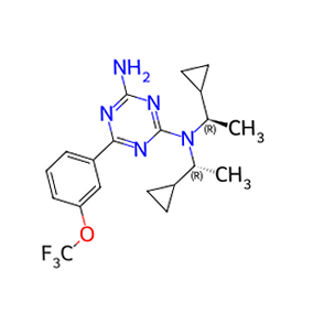 C[C@H](C1CC1)N(c1nc(N)nc(-c2cccc(OC(F)(F)F)c2)n1)[C@H](C)C1CC1